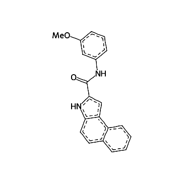 COc1cccc(NC(=O)c2cc3c(ccc4ccccc43)[nH]2)c1